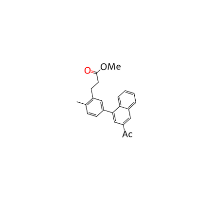 COC(=O)CCc1cc(-c2cc(C(C)=O)cc3ccccc23)ccc1C